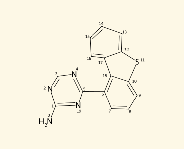 Nc1ncnc(-c2cccc3sc4ccccc4c23)n1